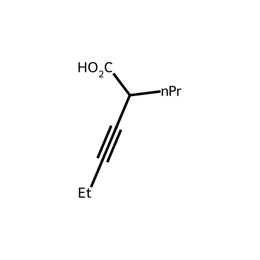 CCC#CC(CCC)C(=O)O